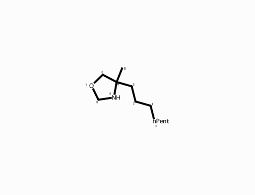 CCCCCCCCC1(C)COCN1